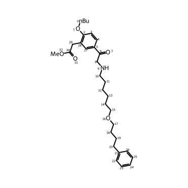 CCCCOc1ccc(C(=O)CNCCCCCCOCCCCc2ccccc2)cc1CC(=O)OC